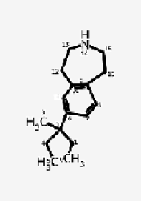 CCC(C)(CC)c1ccc2c(c1)CCNCC2